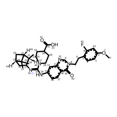 COc1ccc(CCn2cnc3cc(N/C(=N/C4C[C@@H]5C[C@H]([C@@H]4C)C5(C)C)N4CCC(C(=O)O)CC4)ccc3c2=O)c(F)c1